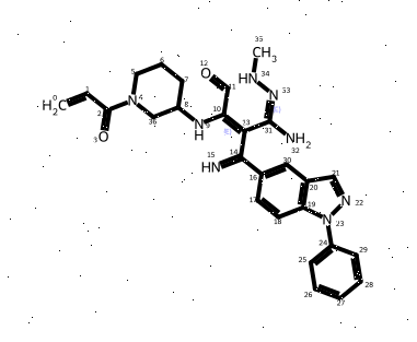 C=CC(=O)N1CCCC(N/C(C=O)=C(C(=N)c2ccc3c(cnn3-c3ccccc3)c2)/C(N)=N\NC)C1